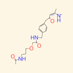 CN/C(C)=C\C(=O)Cc1ccc(CNC(=O)COCCCNC(C)=O)cc1